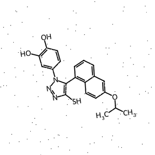 CC(C)Oc1ccc2c(-c3c(S)nnn3-c3ccc(O)c(O)c3)cccc2c1